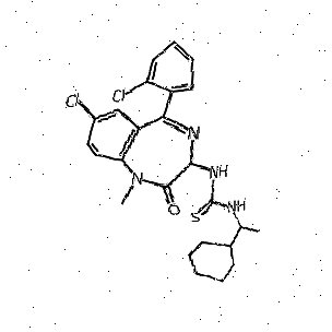 CC(NC(=S)NC1N=C(c2ccccc2Cl)c2cc(Cl)ccc2N(C)C1=O)C1CCCCC1